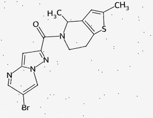 Cc1cc2c(s1)CCN(C(=O)c1cc3ncc(Br)cn3n1)C2C